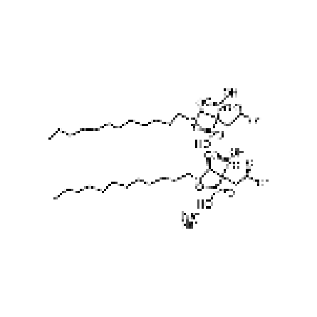 CCCCCCCCCCCCOC(=O)C(CC(=O)[O-])(S(=O)(=O)O)S(=O)(=O)O.CCCCCCCCCCCCOC(=O)C(CC(=O)[O-])(S(=O)(=O)O)S(=O)(=O)O.[Na+].[Na+]